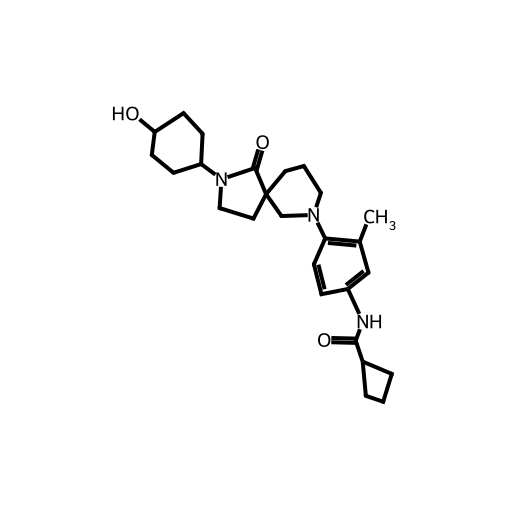 Cc1cc(NC(=O)C2CCC2)ccc1N1CCCC2(CCN(C3CCC(O)CC3)C2=O)C1